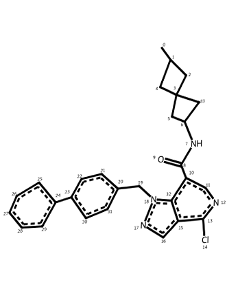 CC1CC2(C1)CC(NC(=O)c1cnc(Cl)c3cnn(Cc4ccc(-c5ccccc5)cc4)c13)C2